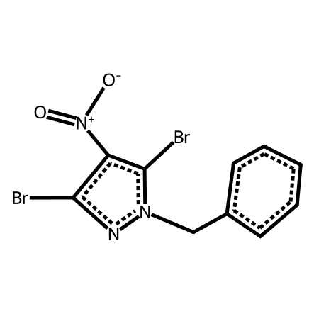 O=[N+]([O-])c1c(Br)nn(Cc2ccccc2)c1Br